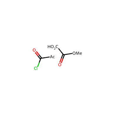 CC(=O)C(=O)Cl.COC(=O)C(=O)O